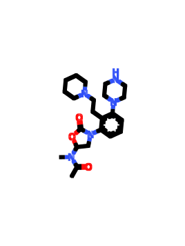 CC(=O)N(C)C1CN(c2cccc(N3CCNCC3)c2CCN2CCCCC2)C(=O)O1